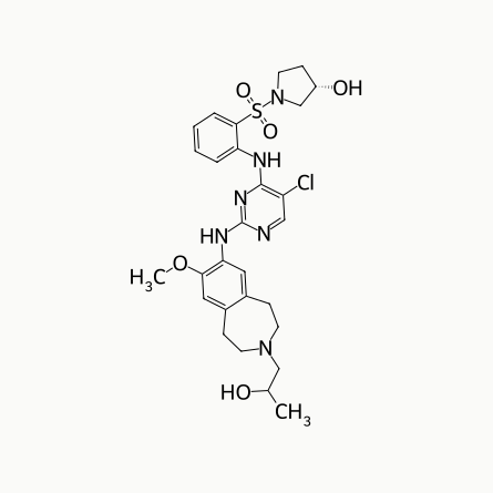 COc1cc2c(cc1Nc1ncc(Cl)c(Nc3ccccc3S(=O)(=O)N3CC[C@H](O)C3)n1)CCN(CC(C)O)CC2